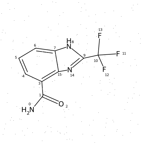 NC(=O)c1cccc2[nH]c(C(F)(F)F)nc12